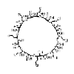 O/C1=C(\O)C(CCCl)OC(O)/C(O)=C(/O)C(CCCl)OC(O)C(O)C(O)C(CCCl)OC(O)C(O)C(O)C(CCCl)OC(O)/C(O)=C(\O)C(CCCl)OC(O)C(O)C(O)C(CCCl)OC(O)/C(O)=C(\O)C(CCCl)OC(O)/C(O)=C(/O)C(CCCl)OC1O